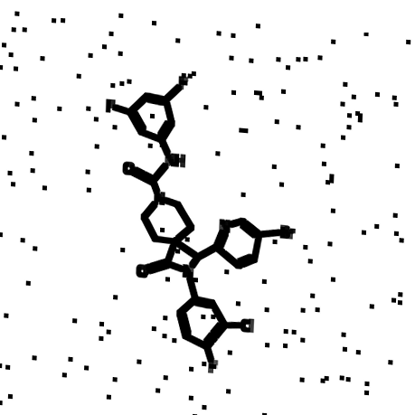 O=C(Nc1cc(F)cc(F)c1)N1CCC2(CC1)C(=O)N(c1ccc(F)c(Cl)c1)C2c1ccc(Br)cn1